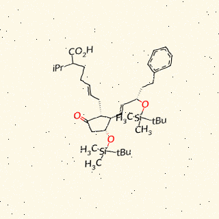 CC(C)C(CCC=CC[C@H]1C(=O)C[C@@H](O[Si](C)(C)C(C)(C)C)[C@@H]1C=C[C@H](CCc1ccccc1)O[Si](C)(C)C(C)(C)C)C(=O)O